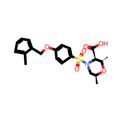 Cc1ccccc1COc1ccc(S(=O)(=O)N2C[C@H](C)O[C@@H](C)[C@@H]2C(=O)O)cc1